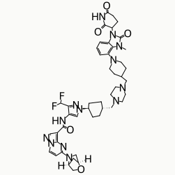 Cn1c(=O)n(C2CCC(=O)NC2=O)c2cccc(N3CCC(CN4CCN(C[C@H]5CC[C@H](n6cc(NC(=O)c7cnn8ccc(N9C[C@@H]%10C[C@H]9CO%10)nc78)c(C(F)F)n6)CC5)CC4)CC3)c21